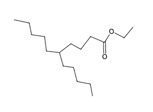 CCCCCC(CCCCC)CCCC(=O)OCC